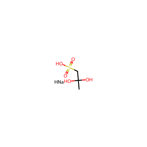 CC(O)(O)CS(=O)(=O)O.[NaH]